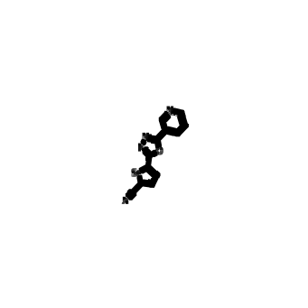 N#Cc1ccc(-c2nnc(-c3cccnc3)o2)[se]1